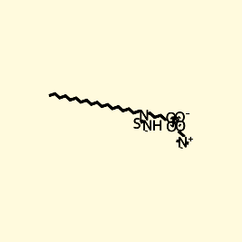 CCCCCCCCCCCCCCCCCCN(CCCCOP(=O)([O-])OCC[N+](C)(C)C)C(=S)NC